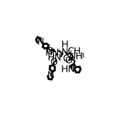 C[C@@H](NC(=O)Cc1c[nH]c2ccccc12)C(=O)NC(CNCOc1ccc(-n2cccc2)cc1)CNCOc1ccc(-n2cccc2)cc1